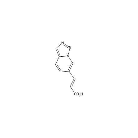 O=C(O)/C=C/c1ccc2cnnn2c1